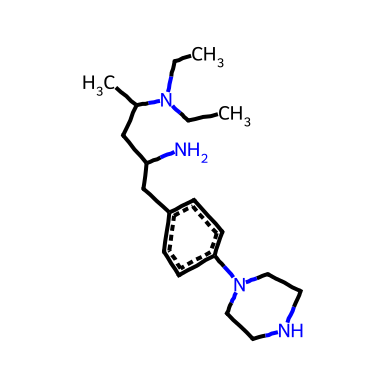 CCN(CC)C(C)CC(N)Cc1ccc(N2CCNCC2)cc1